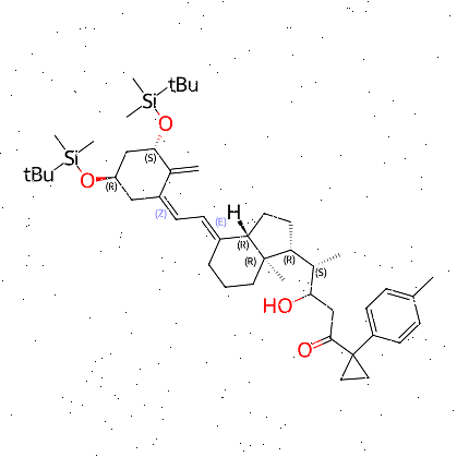 C=C1/C(=C\C=C2/CCC[C@]3(C)[C@@H]([C@H](C)C(O)CC(=O)C4(c5ccc(C)cc5)CC4)CC[C@@H]23)C[C@@H](O[Si](C)(C)C(C)(C)C)C[C@@H]1O[Si](C)(C)C(C)(C)C